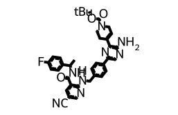 CC(NC(=O)c1cc(C#N)cnc1NCc1ccc(-c2cnc(N)c(C3=CCN(C(=O)OC(C)(C)C)CC3)n2)cc1)c1ccc(F)cc1